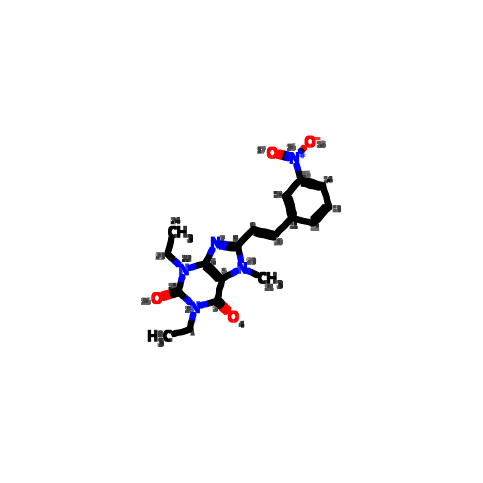 CCn1c(=O)c2c(nc(C=Cc3cccc([N+](=O)[O-])c3)n2C)n(CC)c1=O